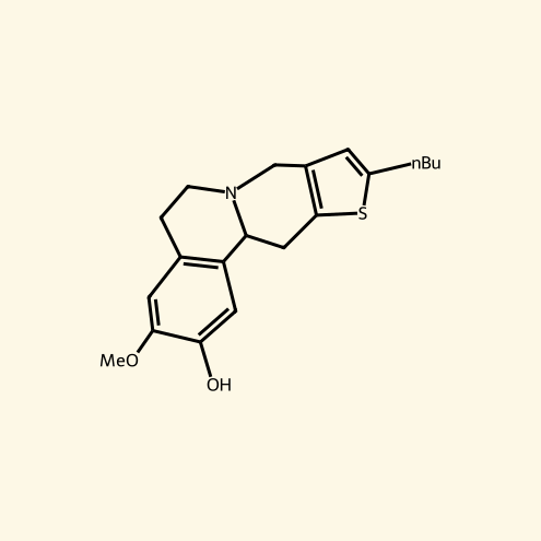 CCCCc1cc2c(s1)CC1c3cc(O)c(OC)cc3CCN1C2